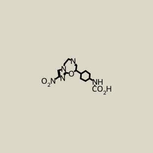 O=C(O)NC1CCC(C2C=NCCn3cc([N+](=O)[O-])nc3O2)CC1